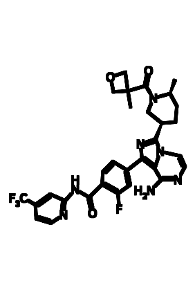 C[C@H]1CC[C@@H](c2nc(-c3ccc(C(=O)Nc4cc(C(F)(F)F)ccn4)c(F)c3)c3c(N)nccn23)CN1C(=O)C1(C)COC1